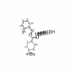 CCCCC1CCC(C(=O)OSc2ccccc2F)CC1.F.F.F.F.F